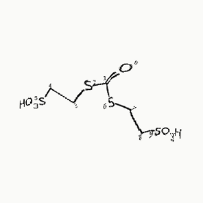 O=C(SCCS(=O)(=O)O)SCCS(=O)(=O)O